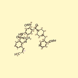 C=Nc1c(/C=C\C)cccc1S(=O)(=O)Nc1ccc(C(=O)N2CCN(Cc3cnccc3OC)CC2)c(OC)c1